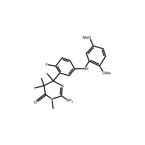 COc1ccc(OC)c(Nc2ccc(F)c(C3(C)N=C(N)N(C)C(=O)C3(C)C)c2)c1